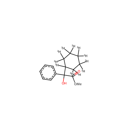 [2H]C1([2H])C([2H])([2H])C([2H])([2H])C([2H])(C(O)(C(=O)OC)c2ccccc2)C([2H])([2H])C1([2H])[2H]